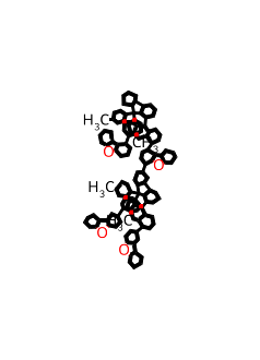 Cc1ccc(C2(c3ccc(C)cc3)c3ccc(-c4ccc(-c5cccc6c(-c7cccc8c7C(c7ccc(C)cc7)(c7ccc(C)cc7)c7ccccc7-8)c7cccc(-c8cccc9oc%10ccccc%10c89)c7cc56)c5c4oc4ccccc45)cc3-c3cccc(-c4c5cccc(-c6ccc7oc8ccccc8c7c6)c5cc5c(-c6ccc7oc8ccccc8c7c6)cccc45)c32)cc1